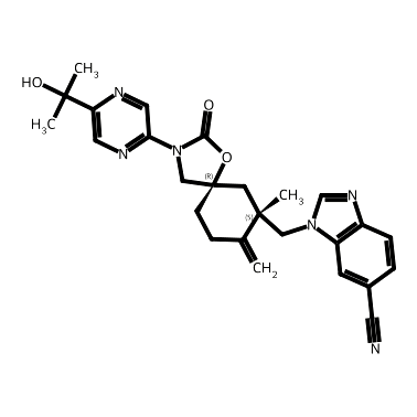 C=C1CC[C@]2(CN(c3cnc(C(C)(C)O)cn3)C(=O)O2)C[C@]1(C)Cn1cnc2ccc(C#N)cc21